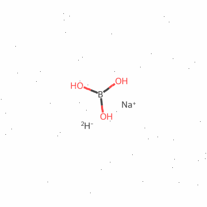 OB(O)O.[2H-].[Na+]